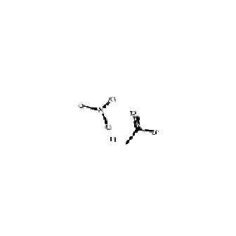 CC(=O)[O-].[Cl][Al]([Cl])[Cl].[Li+]